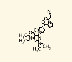 CCN(CC)c1nc(N(CC)CC)c(C(C)=O)c(N2CCN(C(=O)C3CCCN3C(=O)CC#N)CC2)n1